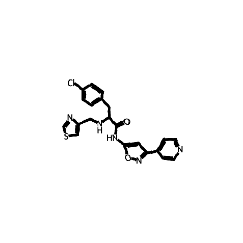 O=C(Nc1cc(-c2ccncc2)no1)C(Cc1ccc(Cl)cc1)NCc1cscn1